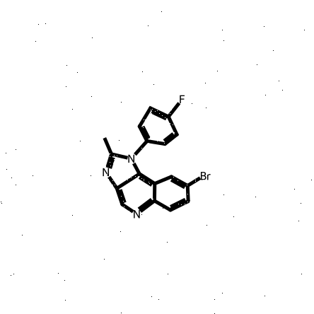 Cc1nc2cnc3ccc(Br)cc3c2n1-c1ccc(F)cc1